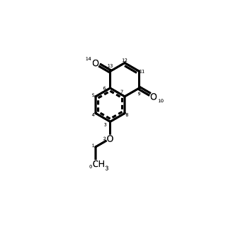 CCOc1ccc2c(c1)C(=O)C=CC2=O